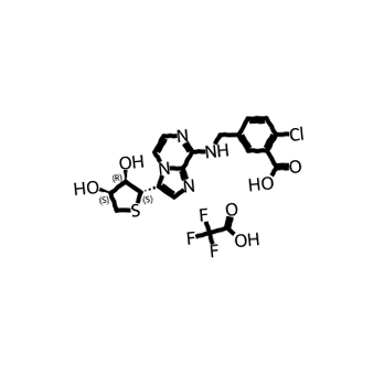 O=C(O)C(F)(F)F.O=C(O)c1cc(CNc2nccn3c([C@@H]4SC[C@@H](O)[C@H]4O)cnc23)ccc1Cl